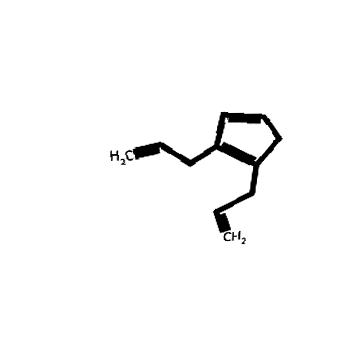 C=CCC1=C(CC=C)CC=C1